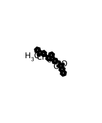 CC1(C)c2ccccc2-c2ccc(-c3ccc4c5c(cccc35)-c3cc(C=C5C(=O)c6cc7ccccc7cc6C5=O)ccc3-4)cc21